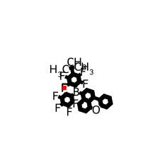 CC(C)(C)c1c(F)c(F)c(B(c2c(F)c(F)c(F)c(F)c2F)c2ccc3c4c(cccc24)Oc2ccccc2-3)c(F)c1F